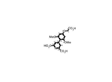 COc1cc(OCC(=O)O)cc(OC)c1-c1cc(C(=O)O)nc(C(=O)O)c1